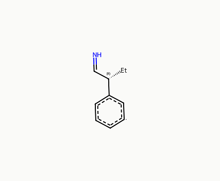 CC[C@@H](C=N)c1c[c]ccc1